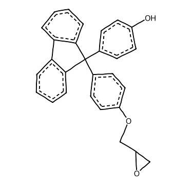 Oc1ccc(C2(c3ccc(OCC4CO4)cc3)c3ccccc3-c3ccccc32)cc1